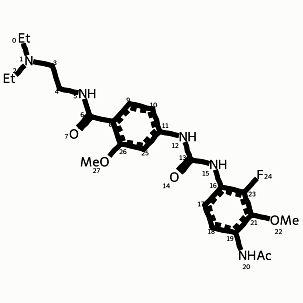 CCN(CC)CCNC(=O)c1ccc(NC(=O)Nc2ccc(NC(C)=O)c(OC)c2F)cc1OC